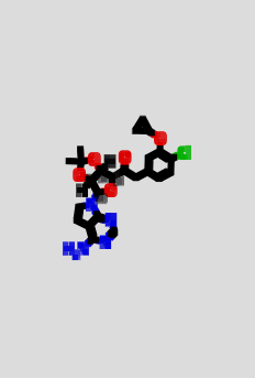 CC1(C)O[C@@H]2[C@H](O1)[C@@H](C(=O)Cc1ccc(Cl)c(OC3CC3)c1)O[C@H]2n1ccc2c(N)ncnc21